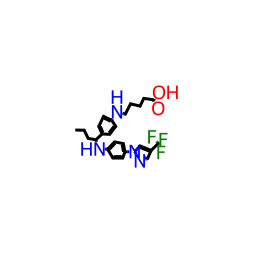 CCCC(Nc1ccc(-n2cc(C(F)(F)F)cn2)cc1)c1ccc(NCCCCC(=O)O)cc1